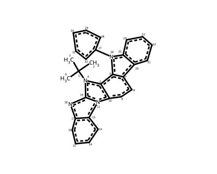 CC(C)(C)n1c2c3c(ccc2n2c4ccccc4nc12)c1ccccc1n3-c1ccccc1